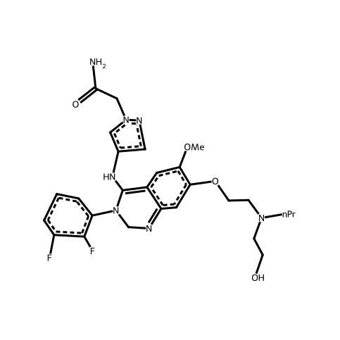 CCCN(CCO)CCOc1cc2c(cc1OC)=C(Nc1cnn(CC(N)=O)c1)N(c1cccc(F)c1F)CN=2